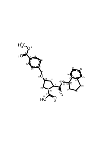 COC(=O)c1ccc(COC2CC(C(=O)N[C@@H]3CCCc4ccccc43)N(C(=O)O)C2)cc1